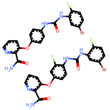 NC(=O)c1ncccc1Oc1ccc(NC(=O)Nc2cc(Br)ccc2F)c(F)c1.NC(=O)c1ncccc1Oc1ccc(NC(=O)Nc2cc(Br)ccc2F)cc1